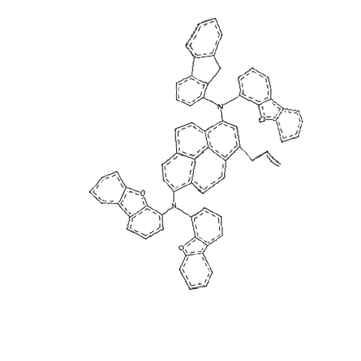 C=CCc1cc(N(c2cccc3c2Cc2ccccc2-3)c2cccc3c2oc2ccccc23)c2ccc3ccc(N(c4cccc5c4oc4ccccc45)c4cccc5c4oc4ccccc45)c4ccc1c2c34